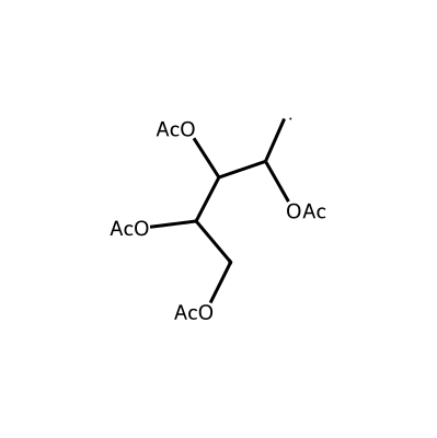 [CH2]C(OC(C)=O)C(OC(C)=O)C(COC(C)=O)OC(C)=O